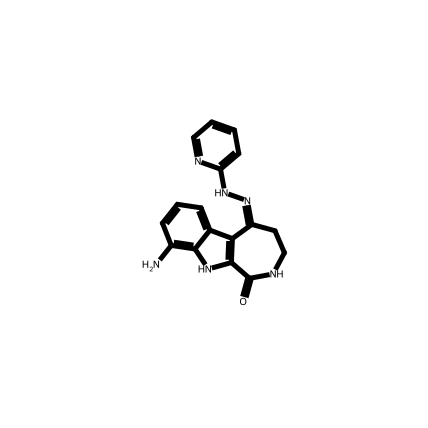 Nc1cccc2c3c([nH]c12)C(=O)NCC/C3=N/Nc1ccccn1